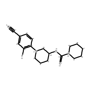 N#Cc1ccc(N2CCCC(OC(=O)N3CCCCC3)C2)c(F)c1